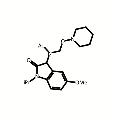 COc1ccc2c(c1)C(N(CON1CCCCC1)C(C)=O)C(=O)N2C(C)C